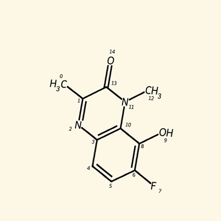 Cc1nc2ccc(F)c(O)c2n(C)c1=O